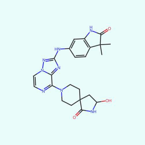 CC1(C)C(=O)Nc2cc(Nc3nc4c(N5CCC6(CC5)CC(O)NC6=O)nccn4n3)ccc21